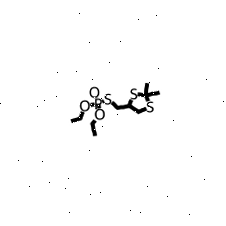 CCOP(=O)(OCC)SCC1CSC(C)(C)S1